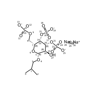 CC(C)CO[C@@H]1O[C@H](COS(=O)(=O)[O-])[C@H](OS(=O)(=O)[O-])[C@H](OS(=O)(=O)[O-])[C@H]1O.[Na+].[Na+].[Na+]